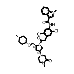 CN1CCN([C@H]2C[C@@H](CO[C@H]3CC[C@H](C)CC3)N(C(=O)Cc3cc(Cl)c(NC(=O)c4cn(C)c5ccccc45)cc3Cl)C2)CC1=O